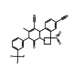 CC1=C(C#N)C(c2ccc(C#N)cc2C2([SH](=O)=O)CCC2)N(C)C(=O)N1c1cccc(C(F)(F)F)c1